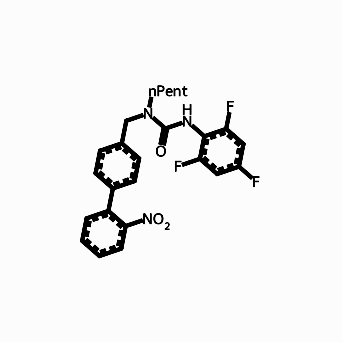 CCCCCN(Cc1ccc(-c2ccccc2[N+](=O)[O-])cc1)C(=O)Nc1c(F)cc(F)cc1F